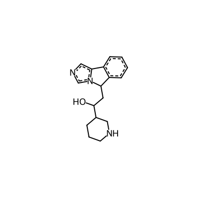 OC(CC1c2ccccc2-c2cncn21)C1CCCNC1